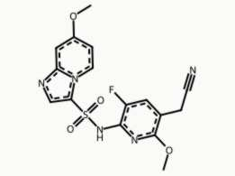 COc1ccn2c(S(=O)(=O)Nc3nc(OC)c(CC#N)cc3F)cnc2c1